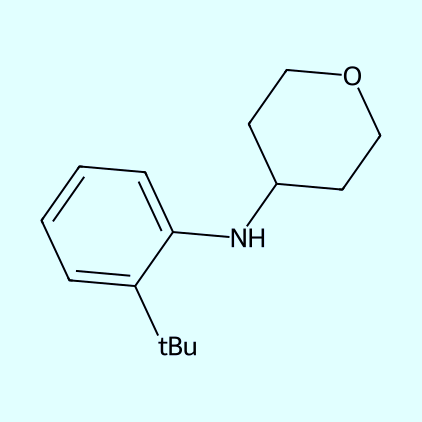 CC(C)(C)c1ccccc1NC1CCOCC1